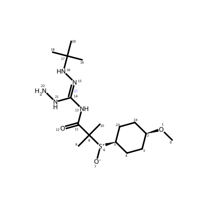 CO[C@H]1CC[C@@H]([S+]([O-])C(C)(C)C(=O)N/C(=N/NC(C)(C)C)NN)CC1